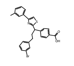 Cc1cccc(-c2csc(C(CCc3cccc(Br)c3)c3ccc(C(=O)O)cc3)n2)c1